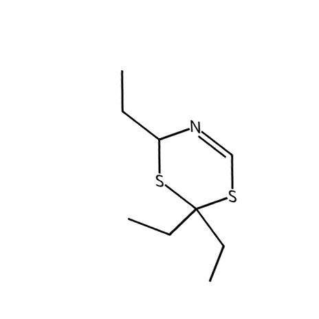 CCC1N=CSC(CC)(CC)S1